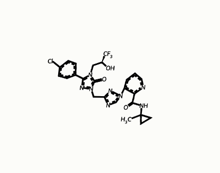 CC1(NC(=O)c2ncccc2-n2cnc(Cn3nc(-c4ccc(Cl)cc4)n(C[C@H](O)C(F)(F)F)c3=O)n2)CC1